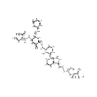 COC(=O)C1(O)CCN(CCCN2CCc3c(-c4cccc(COc5cc(OCc6cccnc6)c(CN[C@@H](CO)C(=O)O)cc5Cl)c4C)cccc32)C1